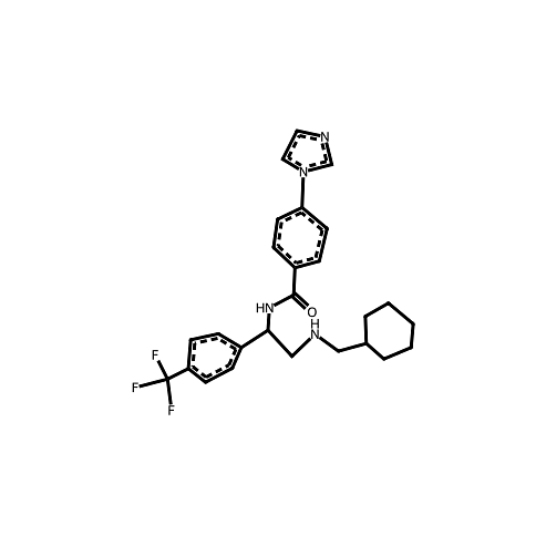 O=C(NC(CNCC1CCCCC1)c1ccc(C(F)(F)F)cc1)c1ccc(-n2ccnc2)cc1